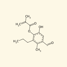 C=C(C)C(=O)Oc1c(O)cc([C]=O)c(C)c1CCC